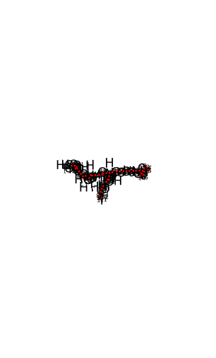 C=Cc1ccccc1N(Cc1ccccc1C)C(=O)CCC(=O)NCCOCCOCCOCCOCCC(=O)NC(CCC(=O)NCCCCCC(=O)N[C@@H](CCC(=O)N[C@H](C)CCCOP(=O)(O)NC(CCC(=O)O)C(=O)O)C(=O)O)C(=O)NC(CCCCNC(=O)CCCc1ccc(I)cc1)C(=O)O